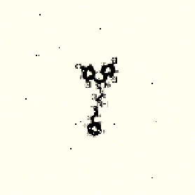 O=C(Cn1nc(-c2ccc(Cl)cc2Cl)c(-c2ccc(Cl)cc2Cl)n1)NCCCc1ccccc1